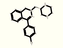 Clc1ccc(C2=NN(C[C@H]3COCCO3)Cc3ccccc32)cc1